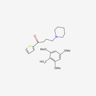 COc1cc(OC)c(C(=O)O)c(OC)c1.O=C(CCCN1CCCCC1)c1cccs1